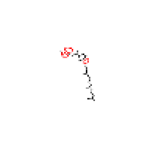 COC(=O)CC(C)c1ccc(OC/C=C(\C)CC/C=C(\C)CCC=C(C)C)cc1